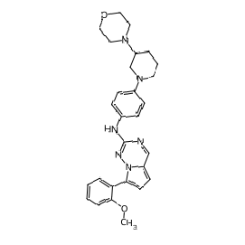 COc1ccccc1-c1ccc2cnc(Nc3ccc(N4CCCC(N5CCOCC5)C4)cc3)nn12